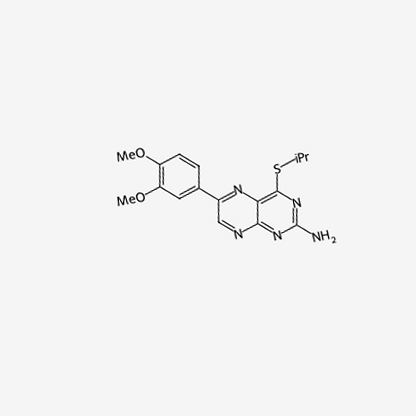 COc1ccc(-c2cnc3nc(N)nc(SC(C)C)c3n2)cc1OC